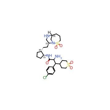 NC(C(=O)N[C@H]1CCC[C@@H]1CC[C@H]1CN[C@@H]2CCCS(=O)(=O)N1C2)C(c1ccc(Cl)cc1)C1CCS(=O)(=O)CC1